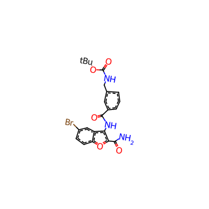 CC(C)(C)OC(=O)NCc1cccc(C(=O)Nc2c(C(N)=O)oc3ccc(Br)cc23)c1